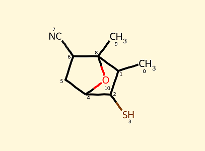 CC1C(S)C2CC(C#N)C1(C)O2